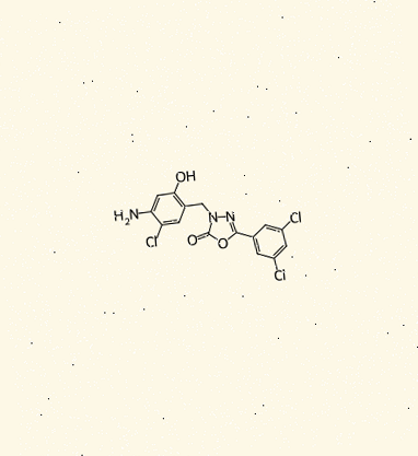 Nc1cc(O)c(Cn2nc(-c3cc(Cl)cc(Cl)c3)oc2=O)cc1Cl